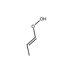 C/C=C/OO